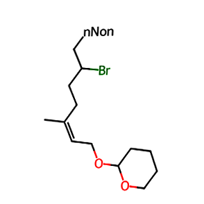 CCCCCCCCCCC(Br)CCC(C)=CCOC1CCCCO1